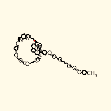 Cc1ccc(OCCOCCOCC=CCOCCOCCOc2ccc(-c3ccc4ccc5ccc(-c6cc7ccc6OCCOCCOCC=CCOCCOCCOc6ccc(cc6)Cc6ccc8ccc9ccc-7nc9c8n6)nc5c4n3)cc2)cc1